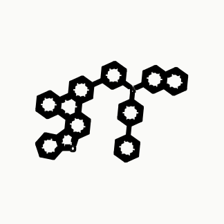 c1ccc(-c2ccc(N(c3cccc(-c4ccc5c6ccccc6c6c(ccc7oc8ccccc8c76)c5c4)c3)c3ccc4ccccc4c3)cc2)cc1